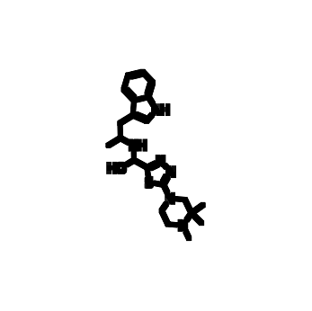 CC(Cc1c[nH]c2ccccc12)NC(O)c1nnc(N2CCN(C)C(C)(C)C2)s1